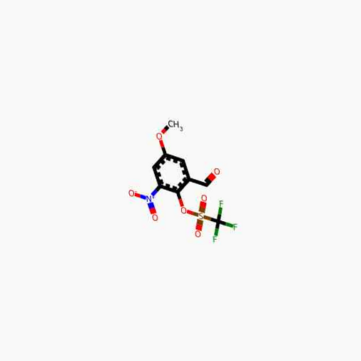 COc1cc(C=O)c(OS(=O)(=O)C(F)(F)F)c([N+](=O)[O-])c1